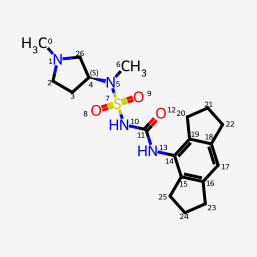 CN1CC[C@H](N(C)S(=O)(=O)NC(=O)Nc2c3c(cc4c2CCC4)CCC3)C1